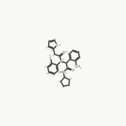 Cc1ccccc1C(C(=O)NC1CCCC1)N(C(=O)Cc1cccs1)c1ccccc1F